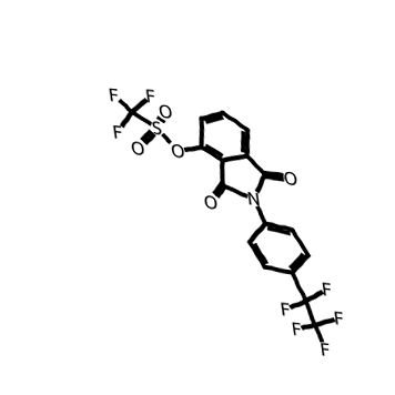 O=C1c2cccc(OS(=O)(=O)C(F)(F)F)c2C(=O)N1c1ccc(C(F)(F)C(F)(F)F)cc1